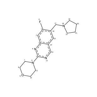 Fc1cc2nc(N3CCOCC3)ncc2cc1CN1CCCC1